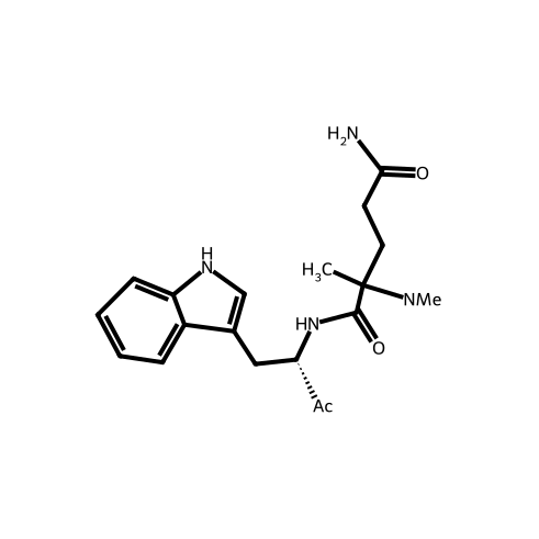 CNC(C)(CCC(N)=O)C(=O)N[C@@H](Cc1c[nH]c2ccccc12)C(C)=O